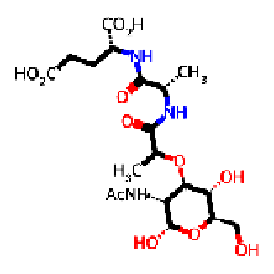 CC(=O)N[C@@H]1[C@@H](OC(C)C(=O)N[C@@H](C)C(=O)N[C@H](CCC(=O)O)C(=O)O)[C@H](O)[C@@H](CO)O[C@@H]1O